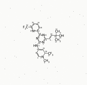 CN1C=CC(Nc2nc(/C=C/C(C)(C)O)nc(-c3cccc(C(F)(F)F)n3)n2)=CC1C(F)(F)F